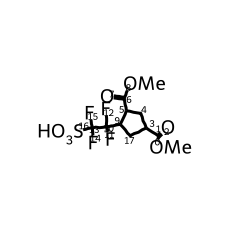 COC(=O)C1CC(C(=O)OC)C(C(F)(F)C(F)(F)S(=O)(=O)O)C1